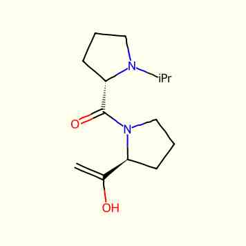 C=C(O)[C@@H]1CCCN1C(=O)[C@@H]1CCCN1C(C)C